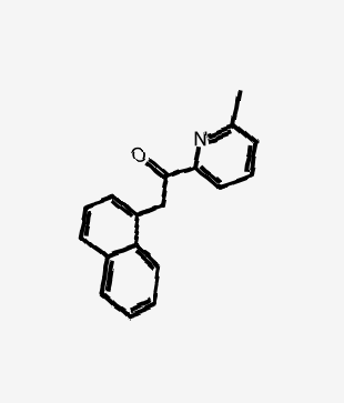 Cc1cccc(C(=O)Cc2cccc3ccccc23)n1